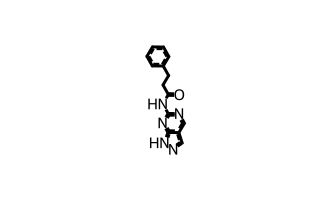 O=C(CCc1ccccc1)Nc1ncc2cn[nH]c2n1